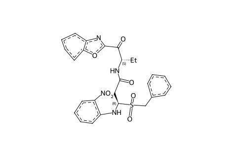 CC[C@H](NC(=O)C[C@H](Nc1ccccc1[N+](=O)[O-])S(=O)(=O)Cc1ccccc1)C(=O)c1nc2ccccc2o1